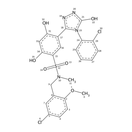 COc1ccc(Cl)cc1CN(C)S(=O)(=O)c1cc(-c2nnc(O)n2-c2ccccc2Cl)c(O)cc1O